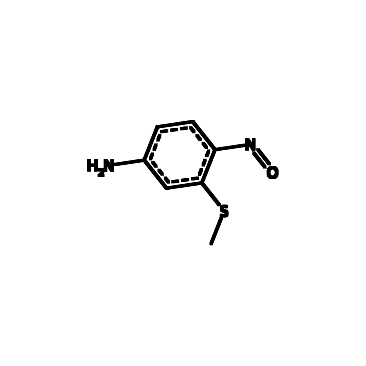 CSc1cc(N)ccc1N=O